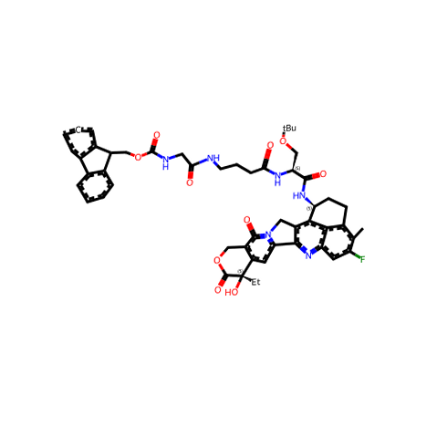 CC[C@@]1(O)C(=O)OCc2c1cc1n(c2=O)Cc2c-1nc1cc(F)c(C)c3c1c2[C@@H](NC(=O)[C@H](COC(C)(C)C)NC(=O)CCCNC(=O)CNC(=O)OCC1c2ccccc2-c2ccccc21)CC3